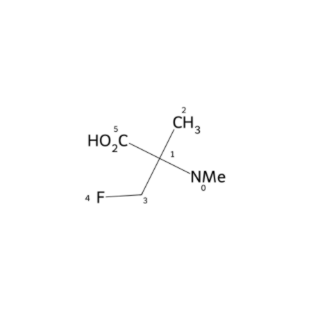 CNC(C)(CF)C(=O)O